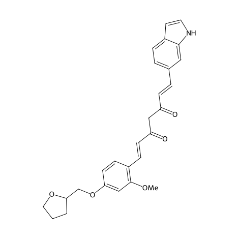 COc1cc(OCC2CCCO2)ccc1/C=C/C(=O)CC(=O)/C=C/c1ccc2cc[nH]c2c1